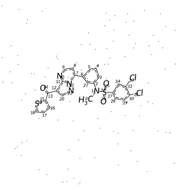 CN(c1cccc(-c2ccnc3c(C(=O)c4cccs4)cnn23)c1)S(=O)(=O)c1ccc(Cl)c(Cl)c1